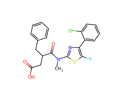 CN(C(=O)C(CC(=O)O)Cc1ccccc1)c1nc(-c2ccccc2Cl)c(F)s1